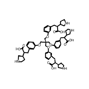 O=C(O)C(Cc1cccc(OCC(COc2cccc(CC(C(=O)O)C3CCNC3)c2)(COc2cccc(CC(C(=O)O)C3CCNC3)c2)COc2cccc(CC(C(=O)O)C3CCNC3)c2)c1)C1CCNC1